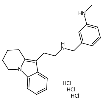 CNc1cccc(CNCCc2c3n(c4ccccc24)CCCC3)c1.Cl.Cl.Cl